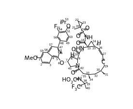 COc1ccc2c(O[C@@H]3C[C@H]4C(=O)N[C@]5(C(=O)NS(=O)(=O)C6(C)CC6)C[C@H]5/C=C\CC[C@@H](C)C[C@@H](C)[C@H](N(C(=O)O)C(C)(C)C(F)(F)F)C(=O)N4C3)nc(-c3ccc(OC(C)C)c(F)c3)cc2c1